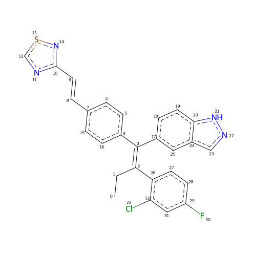 CCC(=C(c1ccc(C=Cc2ncsn2)cc1)c1ccc2[nH]ncc2c1)c1ccc(F)cc1Cl